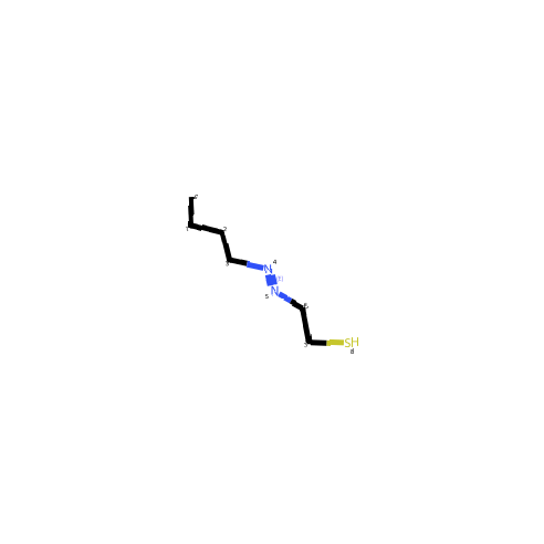 CCCC/N=N/CCS